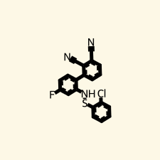 N#Cc1cccc(-c2ccc(F)cc2NSc2ccccc2Cl)c1C#N